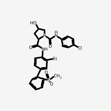 CCc1cc(-c2ccccc2S(C)(=O)=O)ccc1NC(=O)C1CC(O)CN1C(=O)Nc1ccc(Cl)cc1